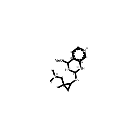 COC1NC(OC2CC2(C)CN(C)C)Nc2cnccc21